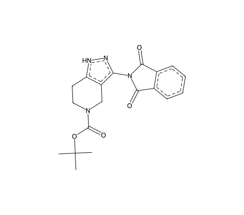 CC(C)(C)OC(=O)N1CCc2[nH]nc(N3C(=O)c4ccccc4C3=O)c2C1